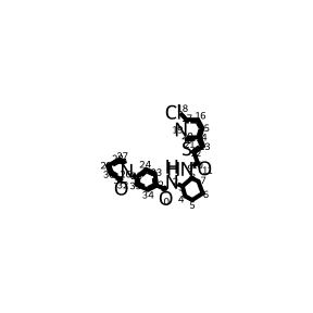 O=C(NC1CCCCC1NC(=O)c1cc2ccc(Cl)nc2s1)c1ccc(-n2ccccc2=O)cc1